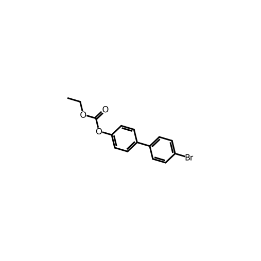 CCOC(=O)Oc1ccc(-c2ccc(Br)cc2)cc1